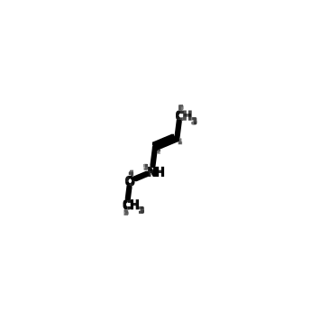 CC=CNOC